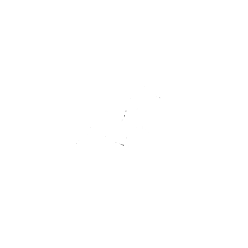 CC(=O)[C@H]1CC[C@@H]2[C@]1(C)CC[C@H]1[C@@]2(C)CCC2=CC(=O)C=C[C@@]21C